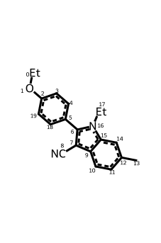 CCOc1ccc(-c2c(C#N)c3ccc(C)cc3n2CC)cc1